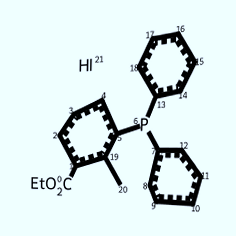 CCOC(=O)c1cccc(P(c2ccccc2)c2ccccc2)c1C.I